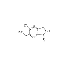 CCc1cc2c(nc1Cl)CNC2=O